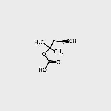 C#CCC(C)(C)OC(=O)O